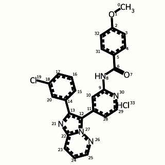 COc1ccc(C(=O)Nc2cc(-c3c(-c4cccc(Cl)c4)nc4cccnn34)ccn2)cc1.Cl